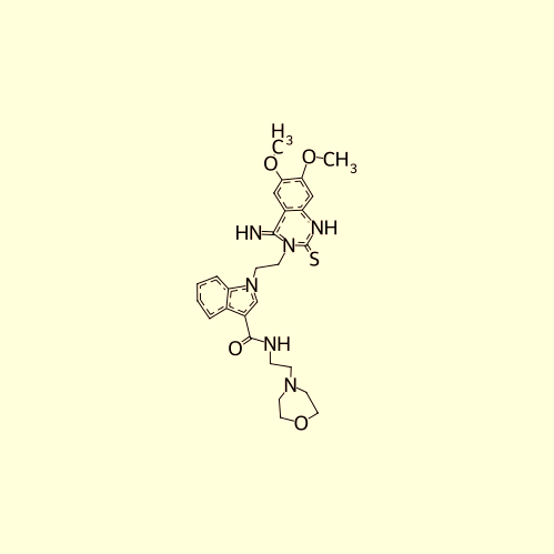 COc1cc2[nH]c(=S)n(CCn3cc(C(=O)NCCN4CCOCC4)c4ccccc43)c(=N)c2cc1OC